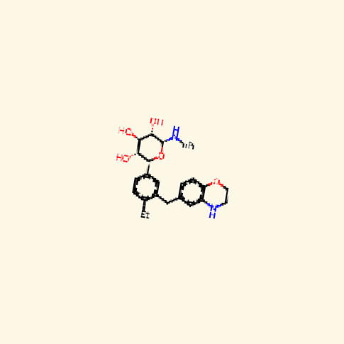 CCCN[C@H]1O[C@@H](c2ccc(CC)c(Cc3ccc4c(c3)NCCO4)c2)[C@H](O)[C@@H](O)[C@@H]1O